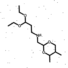 CCOC(CCNCC1OCC(C)C(C)O1)OCC